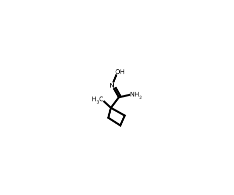 CC1(C(N)=NO)CCC1